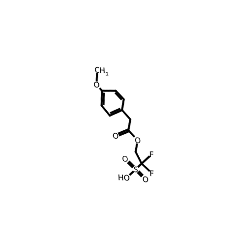 COc1ccc(CC(=O)OCC(F)(F)S(=O)(=O)O)cc1